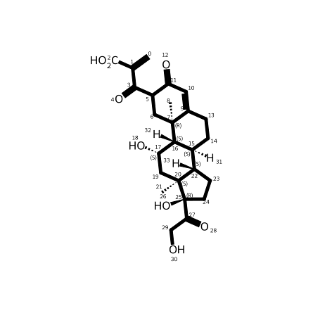 C=C(C(=O)O)C(=O)C1C[C@@]2(C)C(=CC1=O)CC[C@@H]1[C@@H]2[C@@H](O)C[C@@]2(C)[C@H]1CC[C@]2(O)C(=O)CO